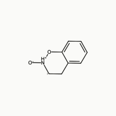 [O-][NH+]1[C]Cc2ccccc2O1